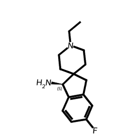 CCN1CCC2(CC1)Cc1cc(F)ccc1[C@H]2N